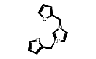 c1coc(Cn2cc[n+](Cc3ccco3)c2)c1